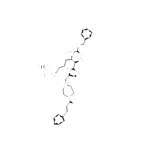 Cl.Cl.NCCCCC(NC(=O)OCc1ccccc1)C(=O)c1noc(CN2CCN(C(=O)CCc3ccccc3)CC2)n1